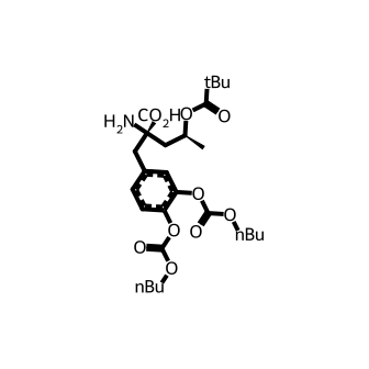 CCCCOC(=O)Oc1ccc(C[C@](N)(C[C@H](C)OC(=O)C(C)(C)C)C(=O)O)cc1OC(=O)OCCCC